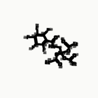 CCC(=O)O[Si](CNC(=O)c1c(F)c(F)c(F)c(F)c1F)(OC(=O)CC)OC(=O)CC